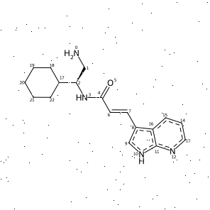 NC[C@@H](NC(=O)C=Cc1c[nH]c2ncccc12)C1CCCCC1